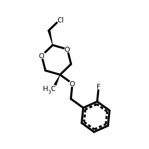 C[C@]1(OCc2ccccc2F)CO[C@H](CCl)OC1